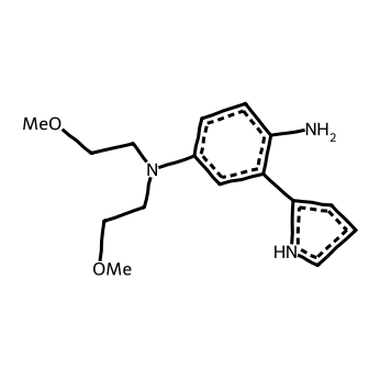 COCCN(CCOC)c1ccc(N)c(-c2ccc[nH]2)c1